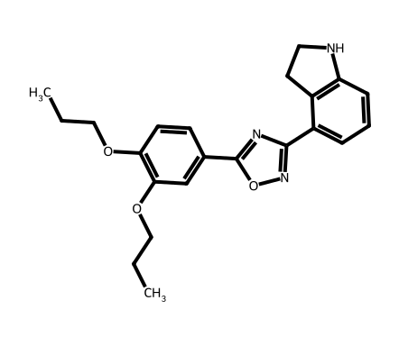 CCCOc1ccc(-c2nc(-c3cccc4c3CCN4)no2)cc1OCCC